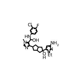 CCn1nc(N)cc1C1(O)CC2CC(c3ncn(C)c3C(O)Nc3ccc(F)c(Cl)c3)CC2C1